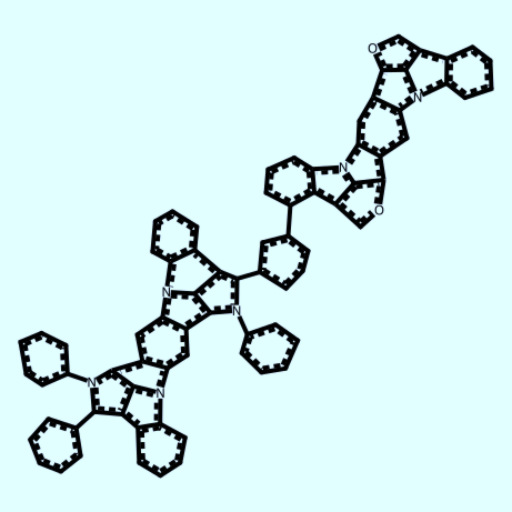 c1ccc(-c2c3c4ccccc4n4c5cc6c7c8c(c(-c9cccc(-c%10cccc%11c%10c%10coc%12c%13cc%14c(cc%13n%11c%10%12)c%10occ%11c%12ccccc%12n%14c%11%10)c9)n7-c7ccccc7)c7ccccc7n8c6cc5c(c34)n2-c2ccccc2)cc1